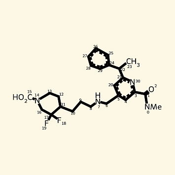 CNC(=O)c1cc(CNCCCC2CCN(C(=O)O)CC2(F)F)cc(C(C)c2ccccc2)n1